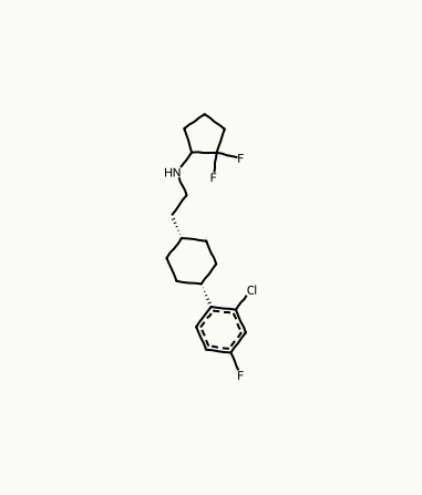 Fc1ccc([C@H]2CC[C@@H](CCNC3CCCC3(F)F)CC2)c(Cl)c1